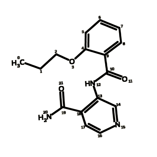 CCCOc1ccccc1C(=O)Nc1cnccc1C(N)=O